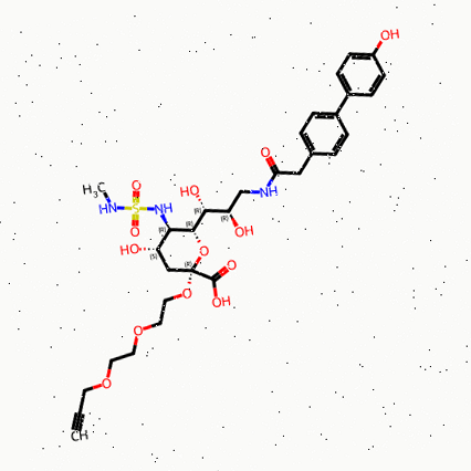 C#CCOCCOCCO[C@]1(C(=O)O)C[C@H](O)[C@@H](NS(=O)(=O)NC)[C@H]([C@H](O)[C@H](O)CNC(=O)Cc2ccc(-c3ccc(O)cc3)cc2)O1